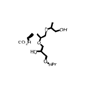 C=CC(=O)O.CCCOCC(O)COC(C)COC(C)CO